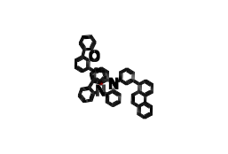 c1cc(-c2cccc3c2ccc2ccccc23)cc(N(c2ccc(-c3cccc4c3oc3ccccc34)cc2)c2ccccc2-n2c3ccccc3c3ccccc32)c1